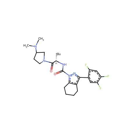 CN(C)C1CCN(C(=O)[C@@H](NC(=O)n2nc(-c3cc(F)c(F)cc3F)c3c2CCCC3)C(C)(C)C)C1